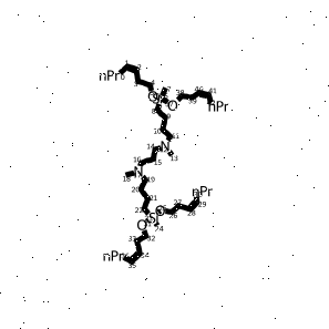 CCC/C=C\CCO[Si](C)(CCCCN(C)CCCN(C)CCCC[Si](C)(OCC/C=C\CCC)OCC/C=C\CCC)OCC/C=C\CCC